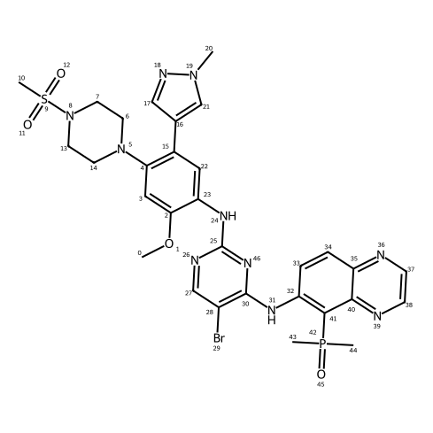 COc1cc(N2CCN(S(C)(=O)=O)CC2)c(-c2cnn(C)c2)cc1Nc1ncc(Br)c(Nc2ccc3nccnc3c2P(C)(C)=O)n1